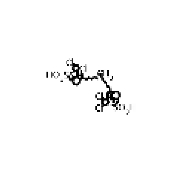 CN(CCC/C=C/c1cn(-c2ccc(Cl)cc2Cl)c2c1CCCc1cc(S(=O)(=O)O)sc1-2)CCC/C=C/c1cn(-c2ccc(Cl)cc2Cl)c2c1CCCc1cc(S(=O)(=O)O)sc1-2